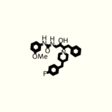 COc1cccc(NC(=O)NCC(O)C(Cc2ccccc2)N2CCC(Cc3ccc(F)cc3)CC2)c1